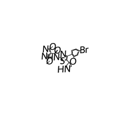 COc1ncnc(OC)c1C(=O)Nc1nc2c(s1)C1(CNC1)Oc1cc(Br)ccc1-2